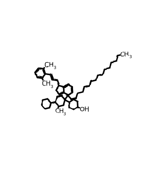 CCCCCCCCCCCCCCCCC1(C2(C3CCC(O)CC3)CCC(C3CCCCC3)C(C)C2)C=CC=C2C1=CCC2CC=Cc1c(C)cccc1C